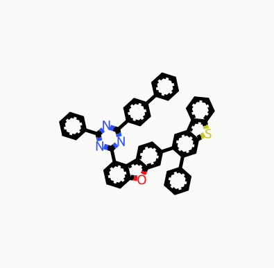 c1ccc(-c2ccc(-c3nc(-c4ccccc4)nc(-c4cccc5oc6cc(-c7cc8c(cc7-c7ccccc7)sc7ccccc78)ccc6c45)n3)cc2)cc1